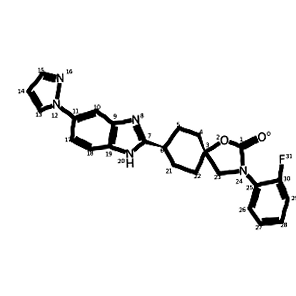 O=C1O[C@]2(CC[C@H](c3nc4cc(-n5cccn5)ccc4[nH]3)CC2)CN1c1ccccc1F